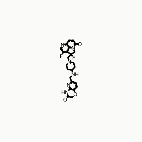 O=C1COc2ccc(CNC3CCN(CC4(F)Cn5c(=O)ccc6ncc(F)c4c65)CC3)nc2N1